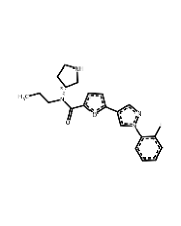 CCCN(C(=O)c1ccc(-c2cnn(-c3ccccc3I)c2)o1)[C@@H]1CCNC1